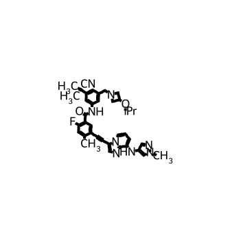 Cc1cc(F)c(C(=O)Nc2cc(CN3CC(OC(C)C)C3)cc(C(C)(C)C#N)c2)cc1C#Cc1cnc2c(Nc3cnn(C)c3)cccn12